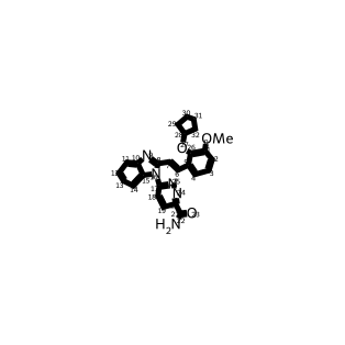 COc1cccc(C=Cc2nc3ccccc3n2-c2ccc(C(N)=O)nn2)c1OC1CCCC1